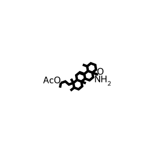 CC(=O)OC(C)CCC1(C)C(C)CCC2(C)C3CCC4(C(N)=O)CCCC(C)C4C3=CCC12